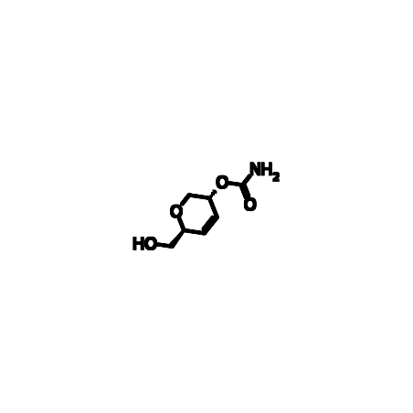 NC(=O)O[C@@H]1C=C[C@@H](CO)OC1